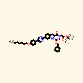 CCCCCCCOc1ccc(-c2cnc(-c3ccc(CC(NC(=O)OCc4ccccc4)C(=O)NCC(=O)OC(C)(C)C)cc3)nc2)cc1